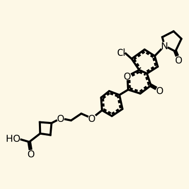 O=C(O)C1CC(OCCOc2ccc(-c3cc(=O)c4cc(N5CCCC5=O)cc(Cl)c4o3)cc2)C1